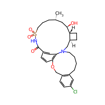 C[C@H]1CCCS(=O)(=O)NC(=O)c2ccc3c(c2)N(CCCCc2cc(Cl)ccc2CO3)C[C@@H]2CC[C@H]2[C@H](O)C1